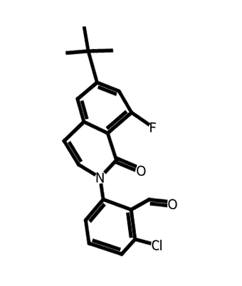 CC(C)(C)c1cc(F)c2c(=O)n(-c3cccc(Cl)c3C=O)ccc2c1